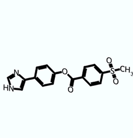 CS(=O)(=O)c1ccc(C(=O)Oc2ccc(-c3c[nH]cn3)cc2)cc1